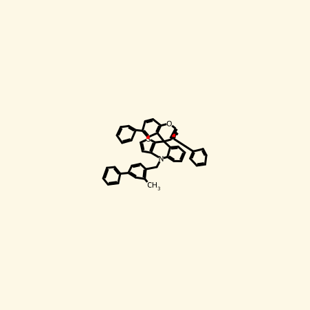 Cc1cc(-c2ccccc2)ccc1CN1c2ccccc2C2(c3cc(-c4ccccc4)ccc3Oc3ccc(-c4ccccc4)cc32)c2sccc21